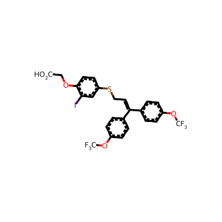 O=C(O)COc1ccc(SCC=C(c2ccc(OC(F)(F)F)cc2)c2ccc(OC(F)(F)F)cc2)cc1I